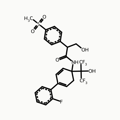 CS(=O)(=O)c1ccc(C(CO)C(=O)NC2(C(O)(C(F)(F)F)C(F)(F)F)C=CC(c3ccccc3F)=CC2)cc1